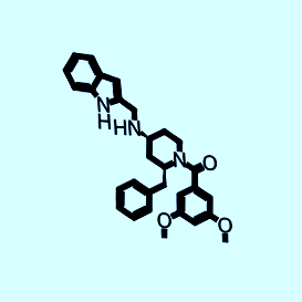 COc1cc(OC)cc(C(=O)N2CC[C@H](NCc3cc4ccccc4[nH]3)C[C@@H]2Cc2ccccc2)c1